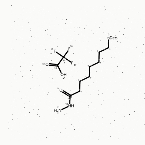 CCCCCCCCCCCCCCCCCC(=O)NN.O=C(O)C(F)(F)F